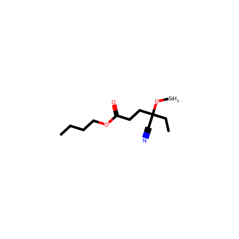 CCCCOC(=O)CCC(C#N)(CC)O[SiH3]